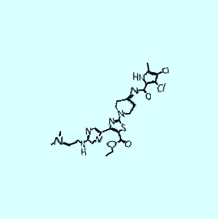 CCOC(=O)c1sc(N2CCC(=NC(=O)c3[nH]c(C)c(Cl)c3Cl)CC2)nc1-c1cnc(NCCN(C)C)cn1